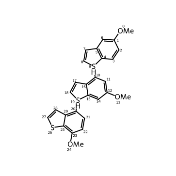 COc1ccc2c(c1)C=C[SH]2c1cc(OC)cc2c1C=C[SH]2c1ccc(OC)c2sccc12